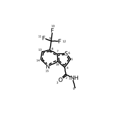 CNC(=O)c1csc2c(C(F)(F)F)ccnc12